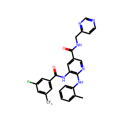 Cc1ccccc1Nc1ncc(C(=O)NCc2ccncn2)cc1NC(=O)c1cc(F)cc(C(F)(F)F)c1